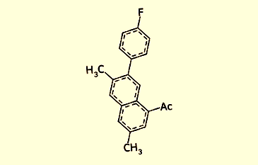 CC(=O)c1cc(C)cc2cc(C)c(-c3ccc(F)cc3)cc12